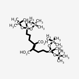 C[Si](C)(C)O[Si](C)(CCCC(C(=O)O)=C(CCC[Si](C)(O[Si](C)(C)C)O[Si](C)(C)C)C(=O)O)O[Si](C)(C)C